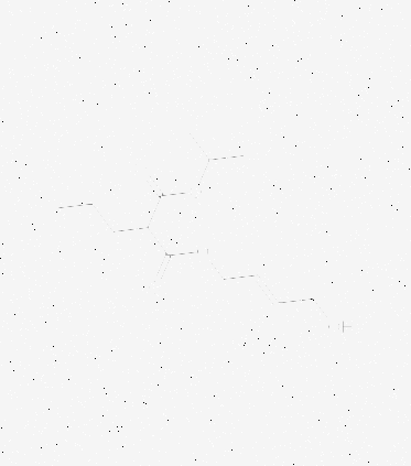 CCCC(C(=O)OCC=CCO)C(=O)OC(C)C